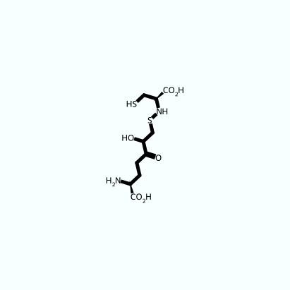 N[C@@H](CCC(=O)C(O)CSN[C@@H](CS)C(=O)O)C(=O)O